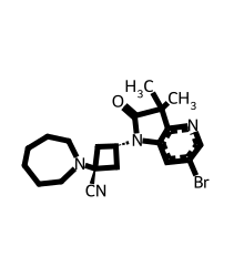 CC1(C)C(=O)N([C@H]2C[C@@](C#N)(N3CCCCCC3)C2)c2cc(Br)cnc21